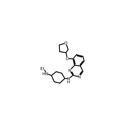 CCNC1CCC(Nc2ncc3cccc(OC4CCOC4)c3n2)CC1